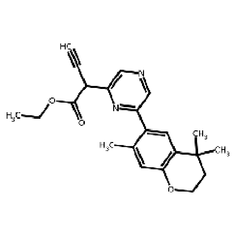 C#CC(C(=O)OCC)c1cncc(-c2cc3c(cc2C)OCCC3(C)C)n1